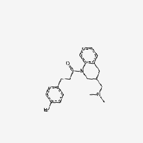 CN(C)CC1Cc2ccccc2N(C(=O)CCc2ccc(Br)cc2)C1